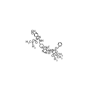 C=C(C)OC(=O)n1c(NCC2CCN(c3ncnc(NC[C@H](NC(=O)OCc4ccccc4)C(=O)OC(C)(C)C)c3CC)CC2)nc2ccc(OC)cc21